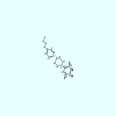 CCCCc1ccc([C@H]2CC[C@H](c3cc(F)c(F)nc3F)CC2)cc1